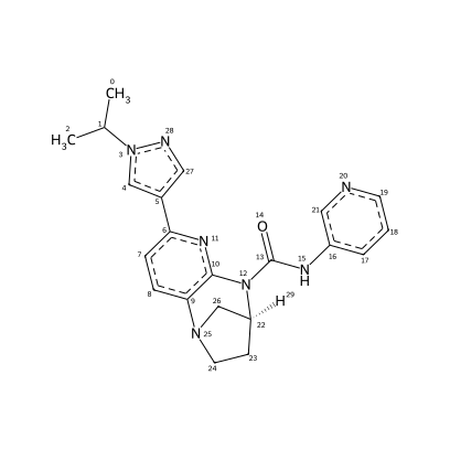 CC(C)n1cc(-c2ccc3c(n2)N(C(=O)Nc2cccnc2)[C@H]2CCN3C2)cn1